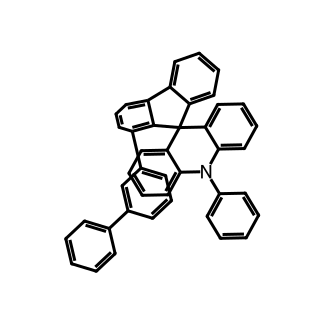 c1ccc(-c2cccc(-c3cccc4c3C3(c5ccccc5-4)c4ccccc4N(c4ccccc4)c4ccccc43)c2)cc1